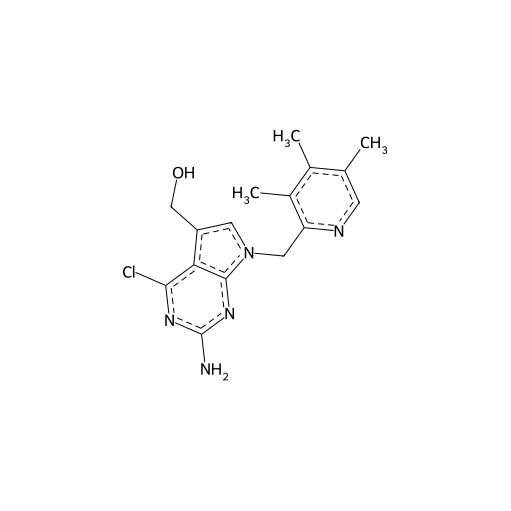 Cc1cnc(Cn2cc(CO)c3c(Cl)nc(N)nc32)c(C)c1C